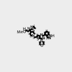 COCCC(N)(c1nccs1)C1CCN(Cc2cc3nc(-c4cccc5[nH]ncc45)nc(N4CCOCC4)c3s2)CC1